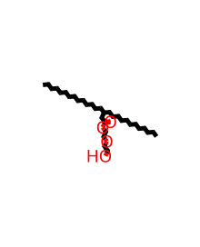 CCCCCCCCCCCCCCC(CCCCCCCCCCCC)CC(=O)OCCOCCO